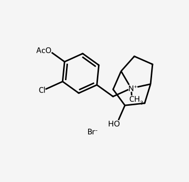 CC(=O)Oc1ccc(C[N+]2(C)C3CCC2CC(O)C3)cc1Cl.[Br-]